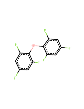 Fc1cc(F)c(Bc2c(F)cc(F)cc2F)c(F)c1